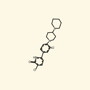 Cl.O=c1[nH]c(-c2ccc(N3CCC(N4CCCCC4)CC3)cc2)ccc1Cl